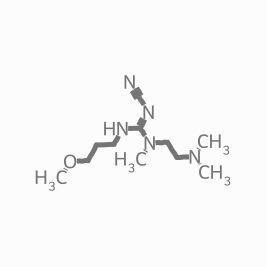 COCCCN/C(=N\C#N)N(C)CCN(C)C